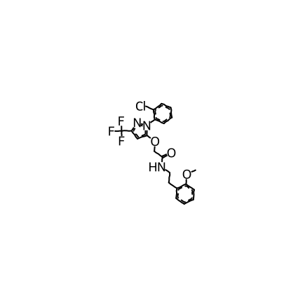 COc1ccccc1CCNC(=O)COc1cc(C(F)(F)F)nn1-c1ccccc1Cl